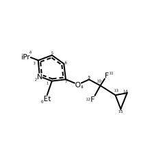 CCc1nc(C(C)C)ccc1OCC(F)(F)C1CC1